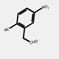 N#Cc1ccc([N+](=O)[O-])cc1CC=O